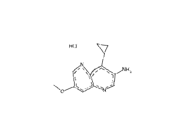 COc1cnc2c(C3CC3)c(N)cnc2c1.Cl